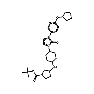 CC(C)(C)OC(=O)N1CCC(NC2CCC(n3ccn(-c4ccc(OC5CCCC5)nc4)c3=O)CC2)C1